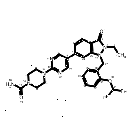 CCn1c(=O)c2ccc(-c3cnc(N4CCN(C(N)=O)CC4)nc3)cc2n1Cc1ccccc1OC(F)F